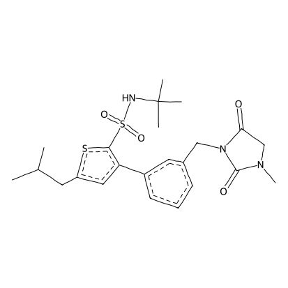 CC(C)Cc1cc(-c2cccc(CN3C(=O)CN(C)C3=O)c2)c(S(=O)(=O)NC(C)(C)C)s1